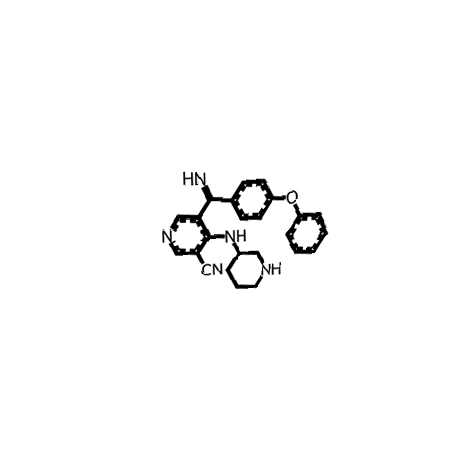 N#Cc1cncc(C(=N)c2ccc(Oc3ccccc3)cc2)c1NC1CCCNC1